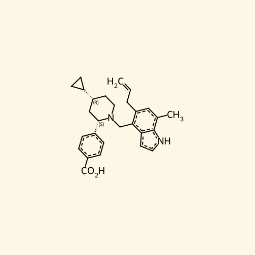 C=CCc1cc(C)c2[nH]ccc2c1CN1CC[C@@H](C2CC2)C[C@H]1c1ccc(C(=O)O)cc1